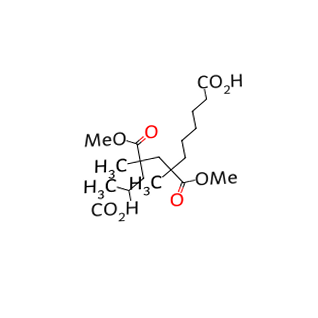 COC(=O)C(C)(CCCCCC(=O)O)CC(C)(CC(C)C(=O)O)C(=O)OC